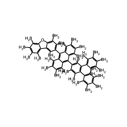 Bc1c(B)c(B)c(-c2c(B)c(B)c(-c3c4c(B)c(B)c(B)c(B)c4c(-c4c(B)c(B)c5oc6c(B)c(B)c(B)c(B)c6c5c4B)c4c(B)c(B)c(B)c(B)c34)c(B)c2-c2c(B)c(B)c(B)c(B)c2B)c(B)c1B